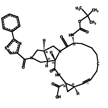 CC(C)(C)OC(=O)N[C@@H]1CCCCC/C=C\[C@H]2C[C@@]2(C(=O)O)NC(=O)[C@@H]2[C@H]3CN(C(=O)c4csc(-c5ccccc5)n4)C[C@H]3CN2C1=O